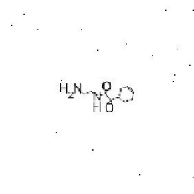 NCCNC(=O)C(=O)c1ccccc1